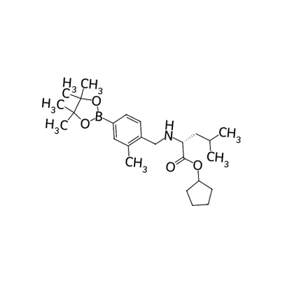 Cc1cc(B2OC(C)(C)C(C)(C)O2)ccc1CN[C@H](CC(C)C)C(=O)OC1CCCC1